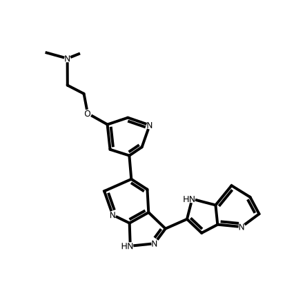 CN(C)CCOc1cncc(-c2cnc3[nH]nc(-c4cc5ncccc5[nH]4)c3c2)c1